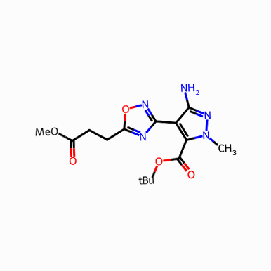 COC(=O)CCc1nc(-c2c(N)nn(C)c2C(=O)OC(C)(C)C)no1